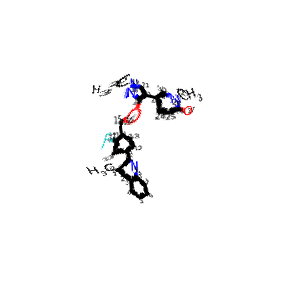 Cc1cc2ccccc2nc1-c1ccc(COc2nn(C)cc2-c2ccc(=O)n(C)c2)c(F)c1